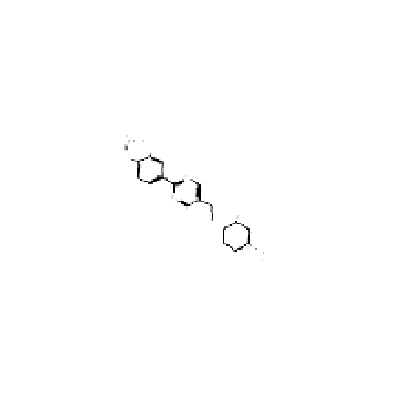 CCCCCCCCCOc1ccc(-c2ncc(CC[C@H]3CC[C@H](CCCC)CC3)cn2)cc1